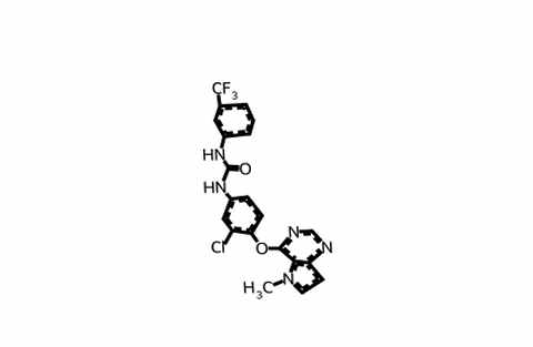 Cn1ccc2ncnc(Oc3ccc(NC(=O)Nc4cccc(C(F)(F)F)c4)cc3Cl)c21